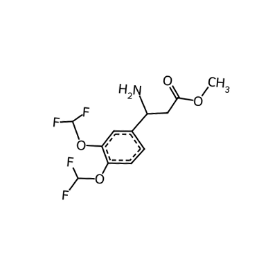 COC(=O)CC(N)c1ccc(OC(F)F)c(OC(F)F)c1